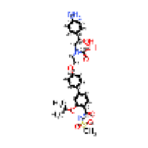 CC(C)Oc1cc(-c2ccc(OCCN(C[C@H](O)c3ccc(N)cc3)C(=O)O)cc2)ccc1C(=O)NS(C)(=O)=O